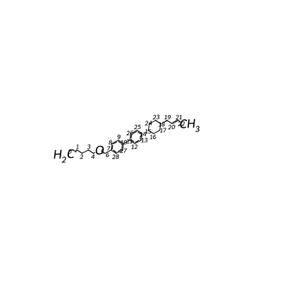 C=CCCCOCc1ccc(-c2ccc([C@H]3CC[C@H](CC=CC)CC3)cc2)cc1